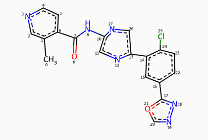 Cc1cnccc1C(=O)Nc1cnc(-c2cc(-c3nnco3)ccc2Cl)cn1